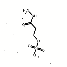 CS(=O)(=O)OCCC(=O)NN